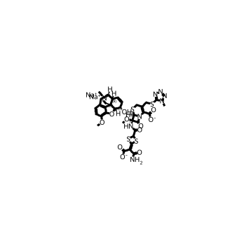 CO[C@@]1(NC(=O)C2SC(=C(C(N)=O)C(=O)[O-])S2)C(=O)N2C(C(=O)[O-])=C(CSc3nnnn3C)CS[C@@H]21.COc1ccc2c3c1O[C@H]1[C@@H](O)C=C[C@H]4[C@@H](C2)N(C)CC[C@@]341.[Na+].[Na+]